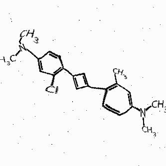 Cc1cc(N(C)C)ccc1C1=CC(c2ccc(N(C)C)cc2Cl)=C1